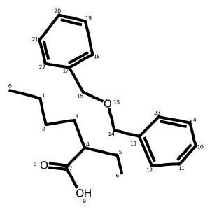 CCCCC(CC)C(=O)O.c1ccc(COCc2ccccc2)cc1